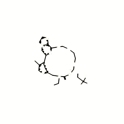 CCN1C(=O)N[C@@H](CCC(F)(F)F)CCCCCOc2nc(cn3ccnc23)-c2cc(ncc2C)[C@H]1C